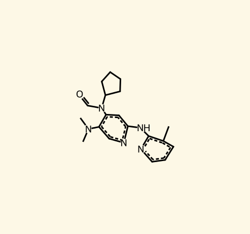 Cc1cccnc1Nc1cc(N(C=O)C2CCCC2)c(N(C)C)cn1